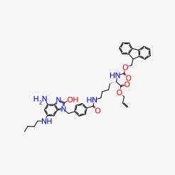 C=CCOC(=O)[C@H](CCCCNC(=O)c1ccc(Cn2c(O)nc3c(N)cc(NCCCC)cc32)cc1)NC(=O)OCC1c2ccccc2-c2ccccc21